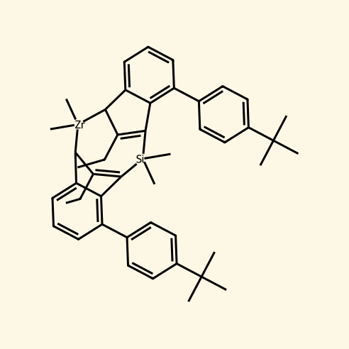 CCC1=C2c3c(-c4ccc(C(C)(C)C)cc4)cccc3[CH]1[Zr]([CH3])([CH3])[CH]1C(CC)=C(c3c(-c4ccc(C(C)(C)C)cc4)cccc31)[Si]2(C)C